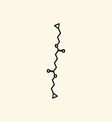 O=C(CCCCC(=O)OCCCC1CC1)OCCCC1CC1